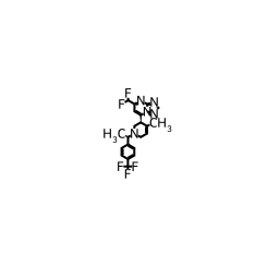 CC1=CCN([C@H](C)c2ccc(C(F)(F)F)cc2)C[C@H]1c1cc(C(F)F)nc2ncnn12